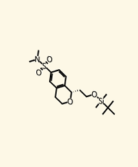 CN(C)S(=O)(=O)c1ccc2c(c1)CCO[C@H]2CCO[Si](C)(C)C(C)(C)C